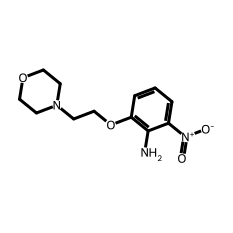 Nc1c(OCCN2CCOCC2)cccc1[N+](=O)[O-]